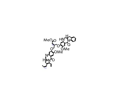 C=CC1=C(/C=C\C)C[C@H]2C=Nc3cc(OC/C(=C/C(=O)OC)COc4cc5c(cc4OC)C(=O)N4c6ccccc6C[C@H]4CN5)c(OC)cc3C(=O)N12